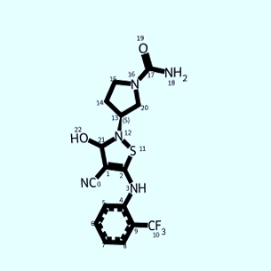 N#CC1=C(Nc2ccccc2C(F)(F)F)SN([C@H]2CCN(C(N)=O)C2)C1O